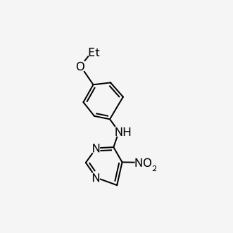 CCOc1ccc(Nc2ncncc2[N+](=O)[O-])cc1